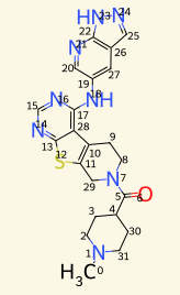 CN1CCC(C(=O)N2CCc3c(sc4ncnc(Nc5cnc6[nH]ncc6c5)c34)C2)CC1